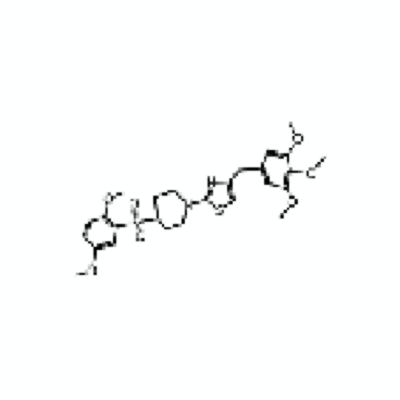 COc1ccc(OC)c(S(=O)(=O)C2CCN(c3nc(Cc4cc(OC)c(OC)c(OC)c4)cs3)CC2)c1